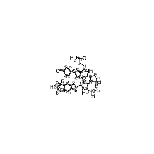 NC(=O)CC[C@H](NC(=O)[C@@H]1CC[C@@H]2CCNC[C@H](NC(=O)c3cc4cc(C(F)(F)P(=O)(O)O)ccc4s3)C(=O)N21)c1ncc(-c2ccc(Cl)cc2)s1